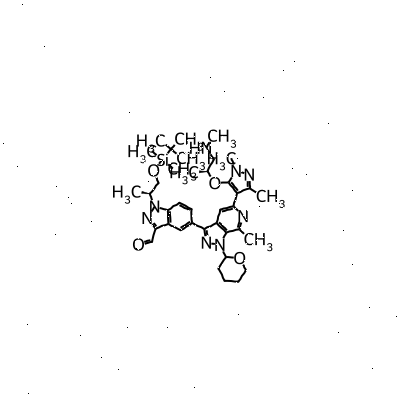 CNC[C@H](C)Oc1c(-c2cc3c(-c4ccc5c(c4)c(C=O)nn5[C@@H](C)CO[Si](C)(C)C(C)(C)C)nn(C4CCCCO4)c3c(C)n2)c(C)nn1C